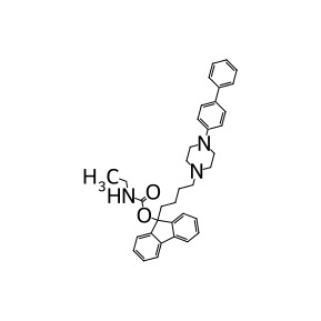 CCNC(=O)OC1(CCCCN2CCN(c3ccc(-c4ccccc4)cc3)CC2)c2ccccc2-c2ccccc21